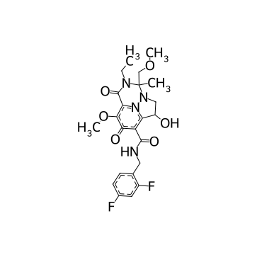 CCN1C(=O)c2c(OC)c(=O)c(C(=O)NCc3ccc(F)cc3F)c3n2N(CC3O)C1(C)COC